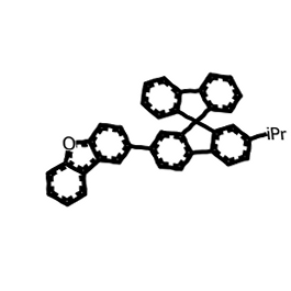 CC(C)c1ccc2c(c1)C1(c3ccccc3-c3ccccc31)c1cc(-c3ccc4oc5ccccc5c4c3)ccc1-2